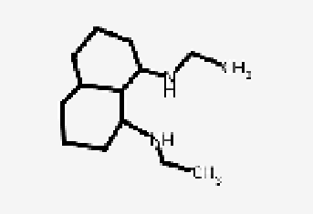 CCNC1CCCC2CCCC(NCC)C21